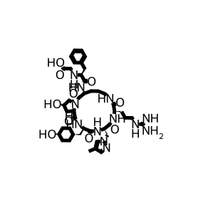 Cc1cnn(C[C@@H]2NC(=O)[C@@H](C[C@H]3CC[C@@H](O)CC3)NC(=O)[C@@H]3C[C@@H](O)CN3C(=O)[C@@H](NC(=O)[C@H](Cc3ccccc3)NCC(=O)O)CCCNC(=O)[C@H](CCCNC(=N)N)NC2=O)c1